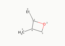 CC[C]1OCC1C